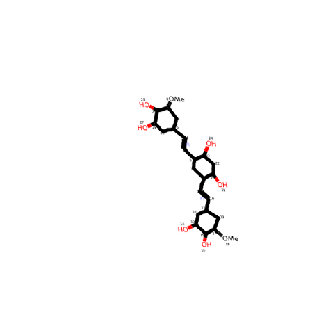 COC1CC(/C=C/C2CC(/C=C/C3CC(O)C(O)C(OC)C3)C(O)CC2O)CC(O)C1O